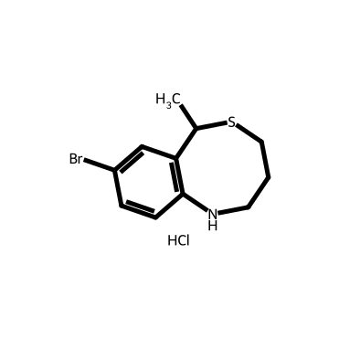 CC1SCCCNc2ccc(Br)cc21.Cl